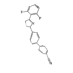 N#Cc1ccc(-c2ccc(C3CCC(c4c(F)cccc4F)=N3)cc2)cc1